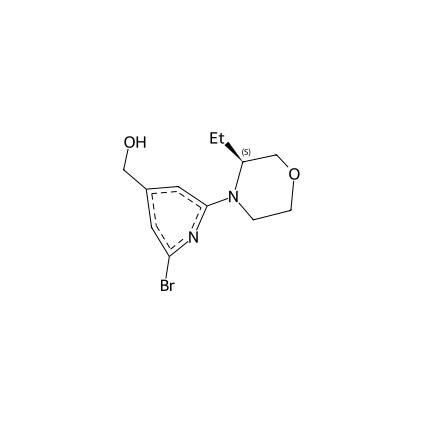 CC[C@H]1COCCN1c1cc(CO)cc(Br)n1